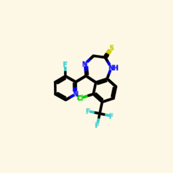 Fc1cccnc1C1=NCC(=S)Nc2ccc(C(F)(F)F)c(Cl)c21